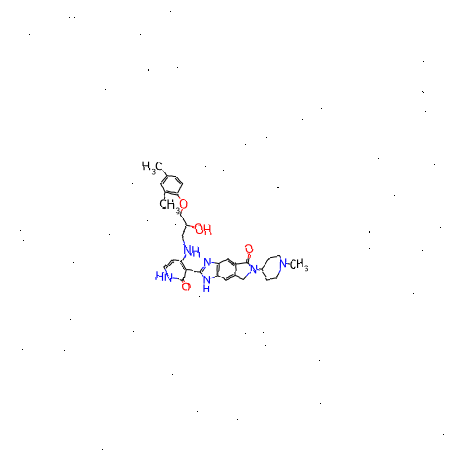 Cc1ccc(OCC(O)CNc2cc[nH]c(=O)c2-c2nc3cc4c(cc3[nH]2)CN(C2CCN(C)CC2)C4=O)c(C)c1